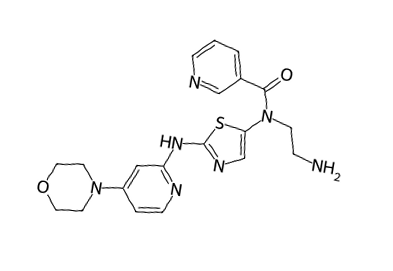 NCCN(C(=O)c1cccnc1)c1cnc(Nc2cc(N3CCOCC3)ccn2)s1